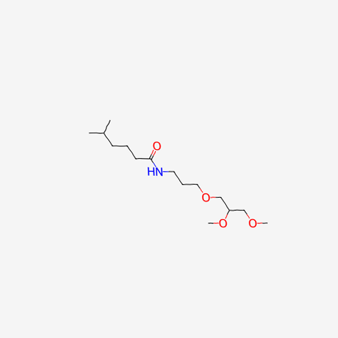 COCC(COCCCNC(=O)CCCC(C)C)OC